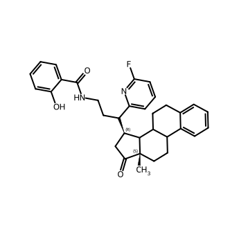 C[C@]12CCC3c4ccccc4CCC3C1[C@H](C(CCNC(=O)c1ccccc1O)c1cccc(F)n1)CC2=O